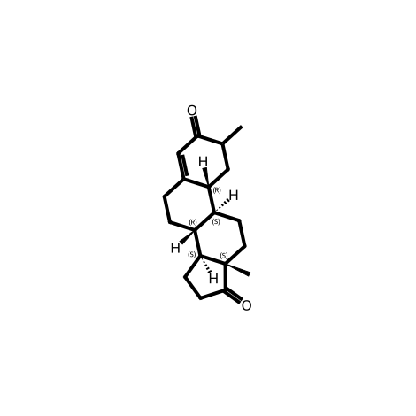 CC1C[C@H]2C(=CC1=O)CC[C@@H]1[C@@H]2CC[C@]2(C)C(=O)CC[C@@H]12